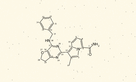 Cc1cn2c(C(N)=O)cccc2c1-c1nc2c(c(NCc3ccccc3)n1)OCC2